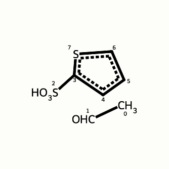 CC=O.O=S(=O)(O)c1cccs1